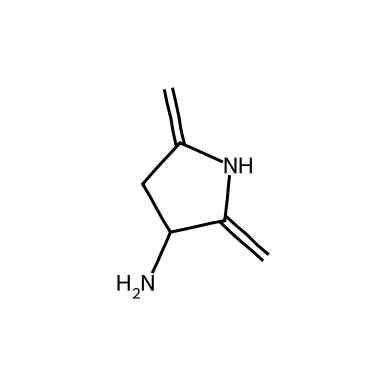 C=C1CC(N)C(=C)N1